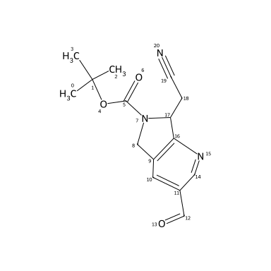 CC(C)(C)OC(=O)N1Cc2cc(C=O)cnc2C1CC#N